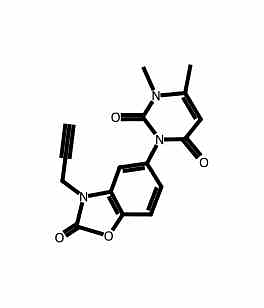 C#CCn1c(=O)oc2ccc(-n3c(=O)cc(C)n(C)c3=O)cc21